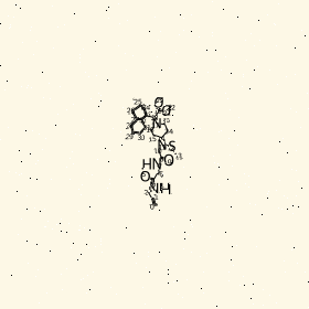 C#CCNC(=O)CNC(=O)CN(SC)C1CCN(C(C(=O)OC)c2cccc3ccccc23)CC1